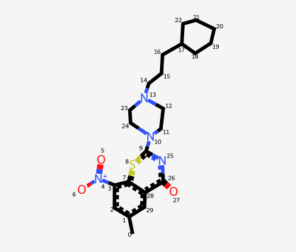 Cc1cc([N+](=O)[O-])c2sc(N3CCN(CCCC4CCCCC4)CC3)nc(=O)c2c1